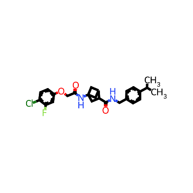 CC(C)c1ccc(CNC(=O)C2CC3(NC(=O)COc4ccc(Cl)c(F)c4)CC2C3)cc1